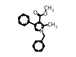 COC(=O)c1c(-c2ccccc2)cn(Cc2ccccc2)c1C